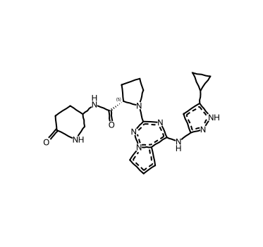 O=C1CCC(NC(=O)[C@@H]2CCCN2c2nc(Nc3cc(C4CC4)[nH]n3)c3cccn3n2)CN1